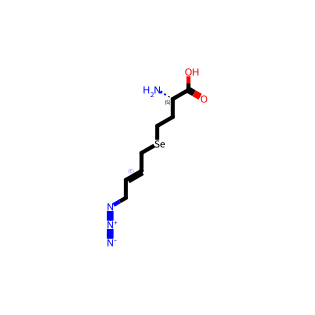 [N-]=[N+]=NC/C=C/C[Se]CC[C@H](N)C(=O)O